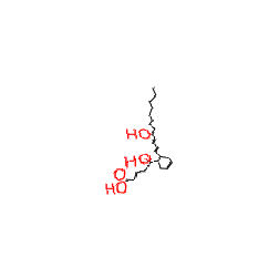 CCCCCCCCC(O)/C=C/C=C/C1CC=CCC1C(O)CCCC(=O)O